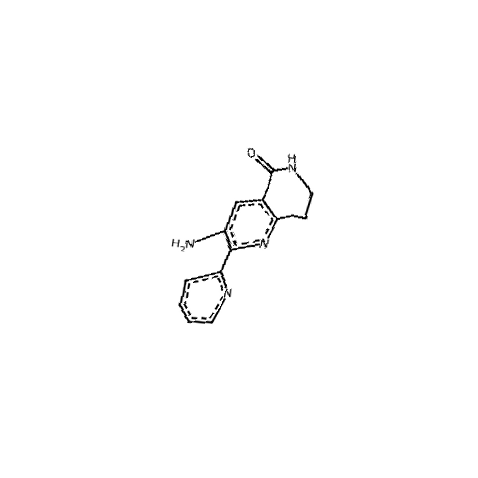 Nc1cc2c(nc1-c1ccccn1)CCNC2=O